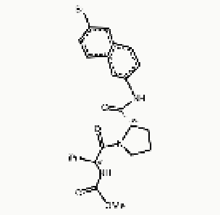 COC(=O)N[C@H](C(=O)N1CCC[C@H]1C(=O)Nc1ccc2cc(Br)ccc2c1)C(C)C